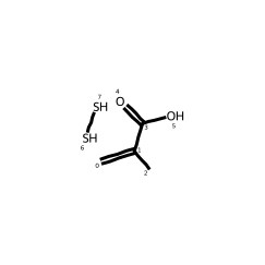 C=C(C)C(=O)O.SS